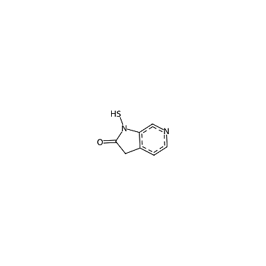 O=C1Cc2ccncc2N1S